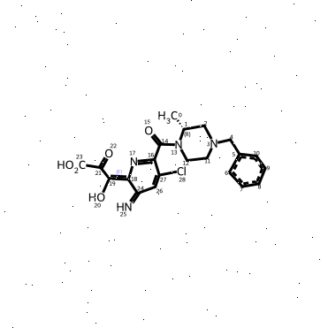 C[C@@H]1CN(Cc2ccccc2)CCN1C(=O)C1=N/C(=C(/O)C(=O)C(=O)O)C(=N)C=C1Cl